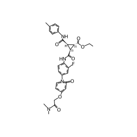 CCOC(=O)[C@H]1[C@H](C(=O)Nc2ccc(C)cc2)[C@@H]1C(=O)Nc1ccc(-n2ccc(OCC(=O)N(C)C)cc2=O)cc1F